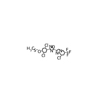 CSCOc1cc(Cl)c(-c2noc(-c3cn4cc(C(F)(F)F)cc(Cl)c4n3)n2)cc1Cl